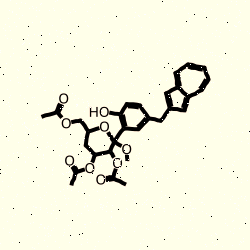 COC1(c2cc(Cc3cc4cccccc-4c3)ccc2O)OC(COC(C)=O)CC(OC(C)=O)C1OC(C)=O